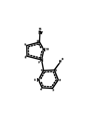 Fc1cccnc1-n1[c]cc(Br)n1